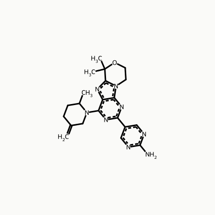 C=C1CCC(C)N(c2nc(-c3cnc(N)nc3)nc3c2nc2n3CCOC2(C)C)C1